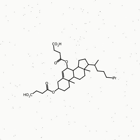 CC(C)CCCC(C)C1CCC2C3C(OC(=O)CCC(=O)O)C=C4CC(OC(=O)CCC(=O)O)CCC4(C)C3CCC12C